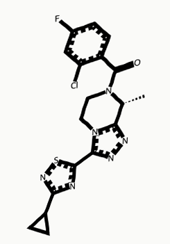 C[C@@H]1c2nnc(-c3nc(C4CC4)ns3)n2CCN1C(=O)c1ccc(F)cc1Cl